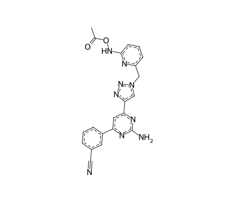 CC(=O)ONc1cccc(Cn2cc(-c3cc(-c4cccc(C#N)c4)nc(N)n3)nn2)n1